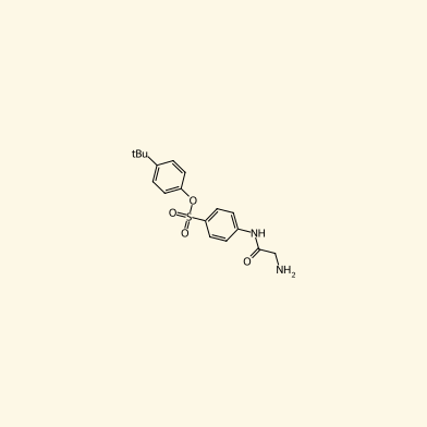 CC(C)(C)c1ccc(OS(=O)(=O)c2ccc(NC(=O)CN)cc2)cc1